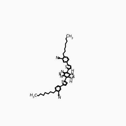 CCCCCCCCc1ccc(-c2ccc(-c3c4c(c(-c5ccc(-c6ccc(CCCCCCCC)c(C#N)c6)s5)c5nsnc35)NSN4)s2)cc1C#N